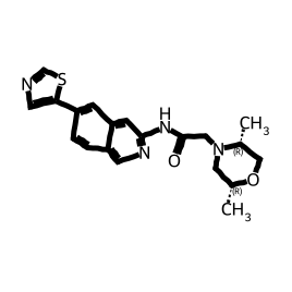 C[C@@H]1CN(CC(=O)Nc2cc3cc(-c4cncs4)ccc3cn2)[C@H](C)CO1